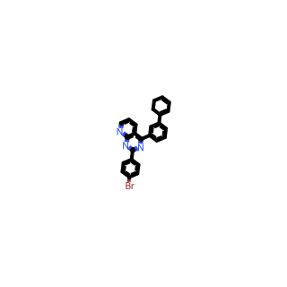 Brc1ccc(-c2nc(-c3cccc(C4=CC=CCC4)c3)c3cccnc3n2)cc1